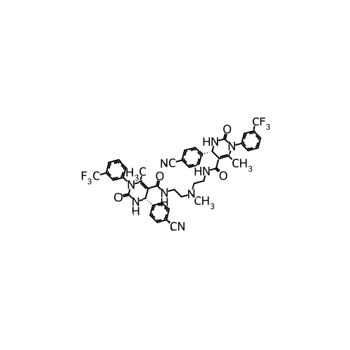 CC1=C(C(=O)NCCN(C)CCNC(=O)C2=C(C)N(c3cccc(C(F)(F)F)c3)C(=O)N[C@H]2c2ccc(C#N)cc2)[C@H](c2ccc(C#N)cc2)NC(=O)N1c1cccc(C(F)(F)F)c1